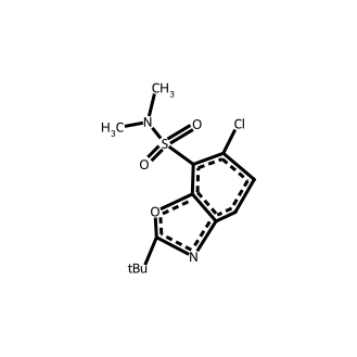 CN(C)S(=O)(=O)c1c(Cl)ccc2nc(C(C)(C)C)oc12